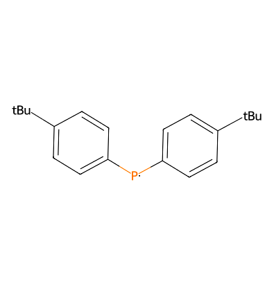 CC(C)(C)c1ccc([P]c2ccc(C(C)(C)C)cc2)cc1